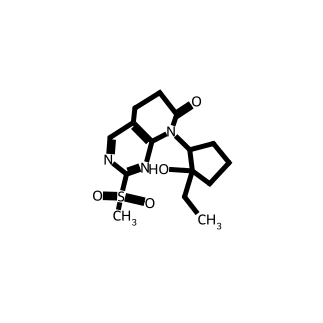 CCC1(O)CCCC1N1C(=O)CCc2cnc(S(C)(=O)=O)nc21